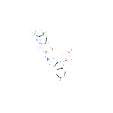 CC(C)(C)OC(=O)n1c2c(c3cc(Cl)ccc31)CN(CC(=O)Nc1ccc(Cl)c(C(F)(F)F)n1)C2